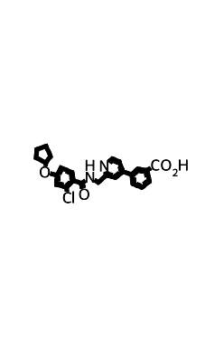 O=C(O)c1cccc(-c2ccnc(CNC(=O)c3ccc(OC4CCCC4)cc3Cl)c2)c1